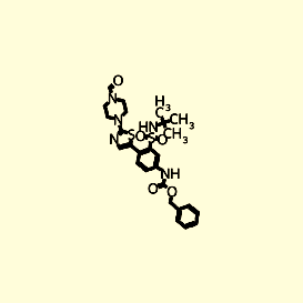 CC(C)(C)NS(=O)(=O)c1cc(NC(=O)OCc2ccccc2)ccc1-c1cnc(N2CCN(C=O)CC2)s1